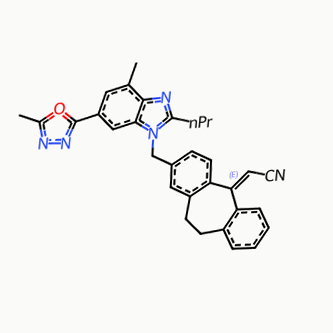 CCCc1nc2c(C)cc(-c3nnc(C)o3)cc2n1Cc1ccc2c(c1)CCc1ccccc1/C2=C\C#N